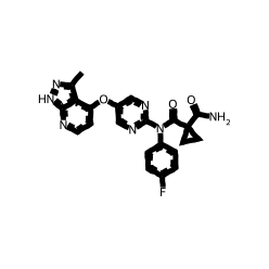 Cc1n[nH]c2nccc(Oc3cnc(N(C(=O)C4(C(N)=O)CC4)c4ccc(F)cc4)nc3)c12